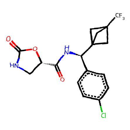 O=C1NC[C@@H](C(=O)N[C@H](c2ccc(Cl)cc2)C23CC(C(F)(F)F)(C2)C3)O1